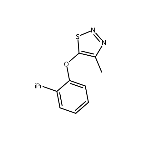 Cc1nnsc1Oc1ccccc1C(C)C